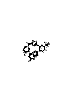 Cc1cc([C@H]2CN(C(=O)c3nnc(C)o3)CC[C@@H]2C)n2nc([C@H]3CC[C@H](C(F)(F)F)CC3)cc2n1